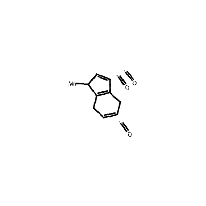 [C]=O.[C]=O.[C]=O.[Mn][CH]1C=CC2=C1CC=CC2